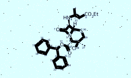 CCOC(=O)C=C(C)N[C@@H]1C(=O)N2[C@@H](C(=O)OC(c3ccccc3)c3ccccc3)[C@](C)(Cl)CS[C@@H]12